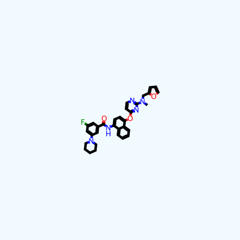 CN(Cc1ccco1)c1nccc(Oc2ccc(NC(=O)c3cc(F)cc(N4CCCCC4)c3)c3ccccc23)n1